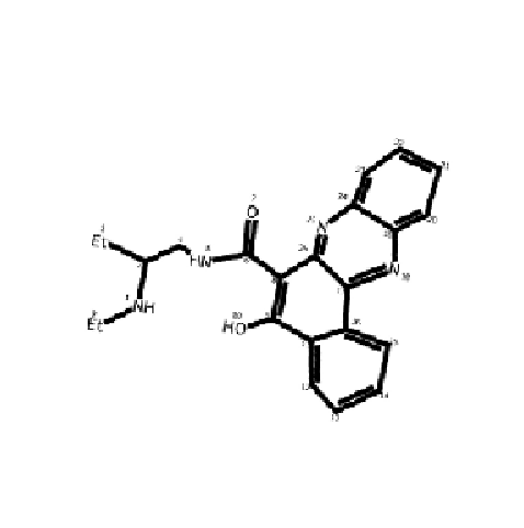 CCNC(CC)CNC(=O)c1c(O)c2ccccc2c2nc3ccccc3nc12